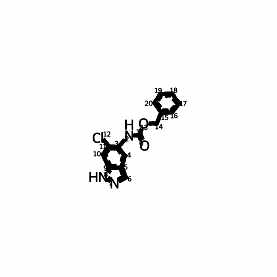 O=C(Nc1cc2cn[nH]c2cc1Cl)OCc1ccccc1